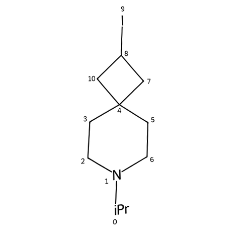 CC(C)N1CCC2(CC1)CC(I)C2